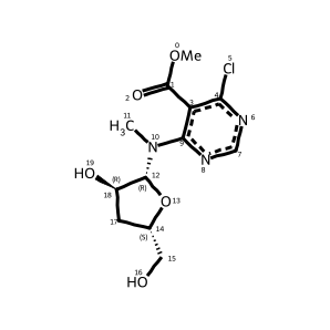 COC(=O)c1c(Cl)ncnc1N(C)[C@@H]1O[C@H](CO)C[C@H]1O